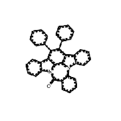 O=c1c2ccccc2n2c3ccccc3c3c(-c4ccccc4)c(-c4ccccc4)c4c5ccccc5n1c4c32